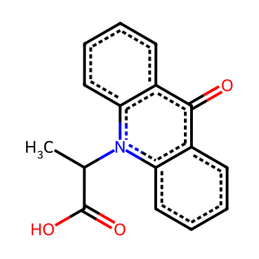 CC(C(=O)O)n1c2ccccc2c(=O)c2ccccc21